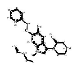 CCOC=O.Cn1cc(N2CCNCC2=O)c2cc(F)c(OCc3ccccn3)nc21